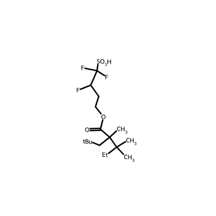 CCC(C)(C)C(C)(CC(C)(C)C)C(=O)OCCC(F)C(F)(F)S(=O)(=O)O